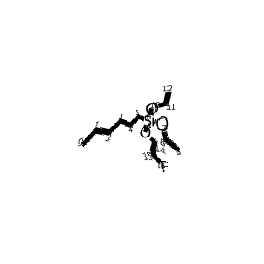 CCCCCC[Si](OCC)(OCC)OCCF